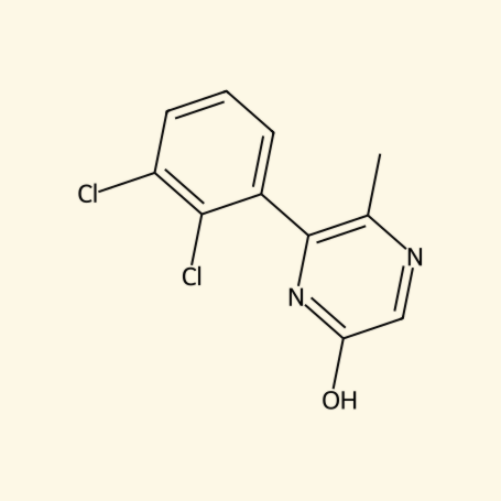 Cc1ncc(O)nc1-c1cccc(Cl)c1Cl